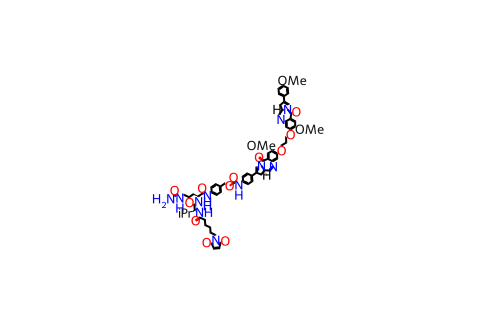 COc1ccc(C2=CN3C(=O)c4cc(OC)c(OCCCOc5cc6c(cc5OC)C(=O)N5C=C(c7ccc(NC(=O)OCc8ccc(NC(=O)[C@H](CCCNC(N)=O)NC(=O)[C@@H](NC(=O)CCCCCN9C(=O)C=CC9=O)C(C)C)cc8)cc7)C[C@@H]5C=N6)cc4N=C[C@@H]3C2)cc1